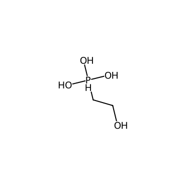 OCC[PH](O)(O)O